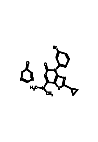 CN(C)c1nc(=O)n(-c2cccc(Br)c2)c2nc(C3CC3)sc12.O=C1C=NC=NC1